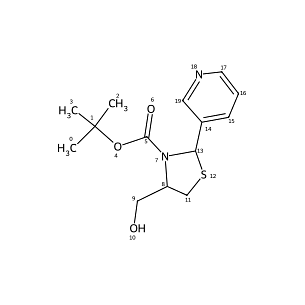 CC(C)(C)OC(=O)N1C(CO)CSC1c1cccnc1